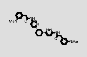 CNc1cccc(CC(=O)Nc2ccc([C@H]3CCC[C@H](c4ccc(NC(=O)Cc5cccc(NC)c5)nn4)C3)nn2)c1